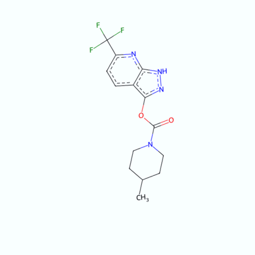 CC1CCN(C(=O)Oc2n[nH]c3nc(C(F)(F)F)ccc23)CC1